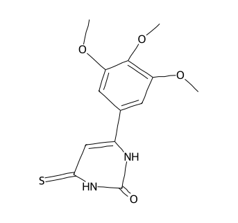 COc1cc(-c2cc(=S)[nH]c(=O)[nH]2)cc(OC)c1OC